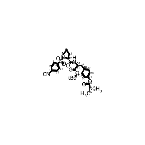 [C-]#[N+]c1ccc(S(=O)(=O)N2CCC[C@H]2C(=O)N[C@@H](Cc2ccc(OC(=O)N(C)C)cc2)C(=O)OC(C)(C)C)cc1